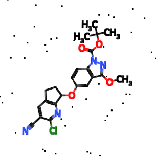 COc1nn(C(=O)OC(C)(C)C)c2ccc(OC3CCc4cc(C#N)c(Cl)nc43)cc12